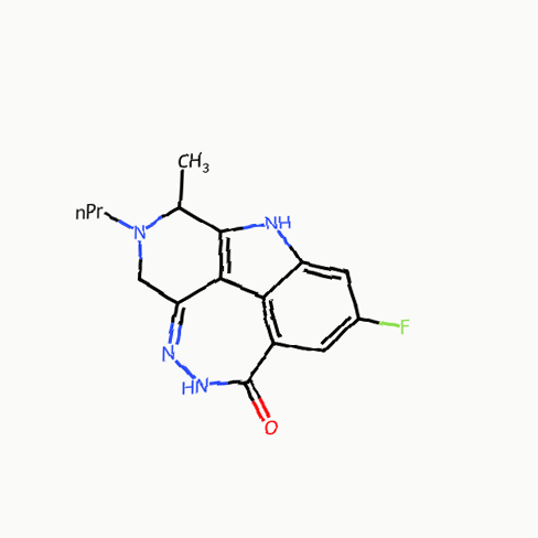 CCCN1CC2=NNC(=O)c3cc(F)cc4[nH]c(c2c34)C1C